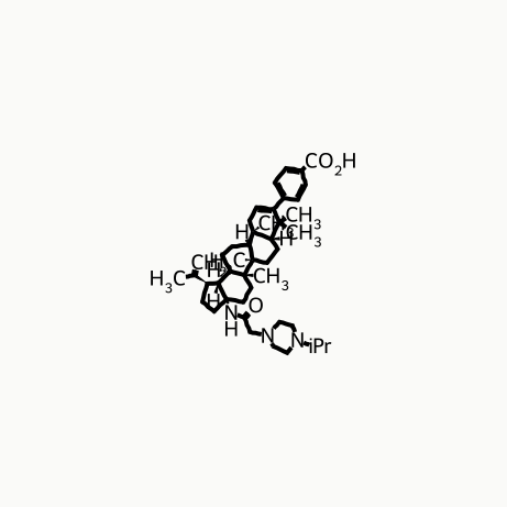 C=C(C)[C@@H]1CC[C@]2(NC(=O)CN3CCN(C(C)C)CC3)CC[C@]3(C)[C@H](CC[C@@H]4[C@@]5(C)CC=C(c6ccc(C(=O)O)cc6)C(C)(C)[C@@H]5CC[C@]43C)[C@@H]12